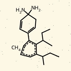 C.CCC(C)c1cccc(C2=CCC(N)(N)C=C2)c1C(C)CC